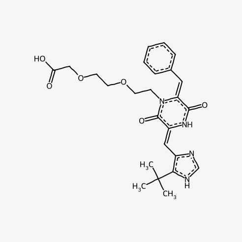 CC(C)(C)c1[nH]cnc1/C=c1\[nH]c(=O)/c(=C/c2ccccc2)n(CCOCCOCC(=O)O)c1=O